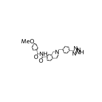 COc1ccc(C(=O)NC(=O)c2ccc3c(c2)CN(Cc2ccc(-c4nn[nH]n4)cc2)C=C3)cc1